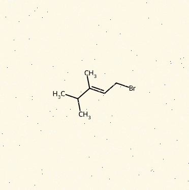 C/C(=C\CBr)C(C)C